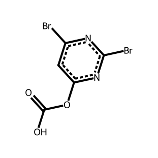 O=C(O)Oc1cc(Br)nc(Br)n1